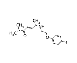 CC(C=CC(=O)N(C)C)NCCOc1ccc(I)cc1